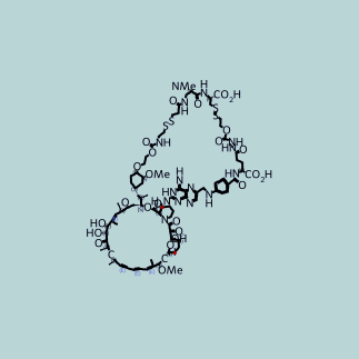 CN[C@@H](CNC(=O)CCSSCCNC(=O)OCCO[C@@H]1CC[C@@H](C[C@@H](C)[C@@H]2CC(=O)[C@H](C)/C=C(\C)[C@@H](O)[C@@H](O)C(=O)[C@H](C)C[C@H](C)/C=C/C=C/C=C(\C)[C@@H](OC)C[C@@H]3CC[C@@H](C)[C@@](O)(O3)C(=O)C(=O)N3CCCC[C@H]3C(=O)O2)C[C@H]1OC)C(=O)N[C@@H](CSSCCOC(=O)NNC(=O)CC[C@H](NC(=O)c1ccc(NCc2cnc3nc(N)[nH]c(=N)c3n2)cc1)C(=O)O)C(=O)O